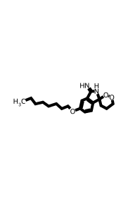 CCCCCCCCOc1ccc2c(c1)C(=N)NC21CCCOO1